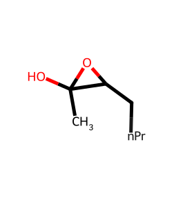 CCCCC1OC1(C)O